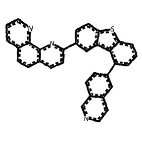 c1cnc2c(c1)ccc1ccc(-c3ccc4sc5cccc(-c6ccc7cnccc7c6)c5c4c3)nc12